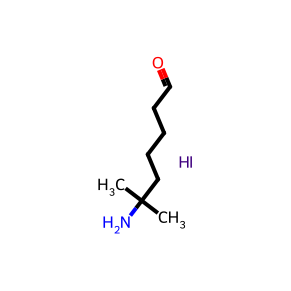 CC(C)(N)CCCCC=O.I